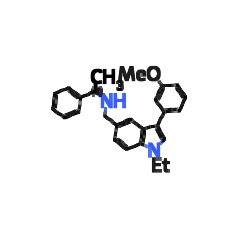 CCn1cc(-c2cccc(OC)c2)c2cc(CN[C@H](C)c3ccccc3)ccc21